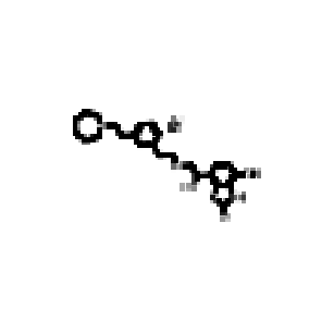 Cl.Cl.O=c1[nH]c2c(O)ccc(C(O)CNCCc3cccc(CCN4CCCCCC4)c3)c2s1